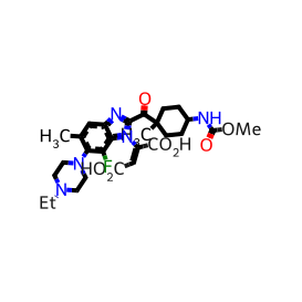 CCN1CCN(c2c(C)cc3nc(C(=O)C4(C)CCC(NC(=O)OC)CC4)n(/C(=C\C(=O)O)C(=O)O)c3c2F)CC1